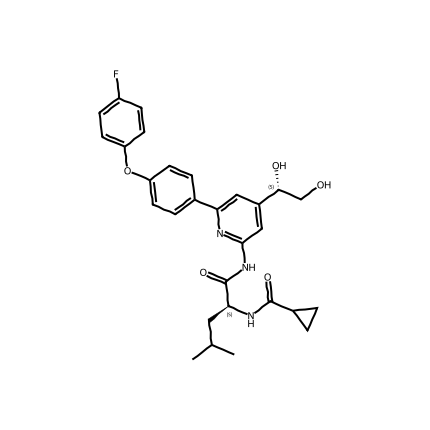 CC(C)C[C@H](NC(=O)C1CC1)C(=O)Nc1cc([C@H](O)CO)cc(-c2ccc(Oc3ccc(F)cc3)cc2)n1